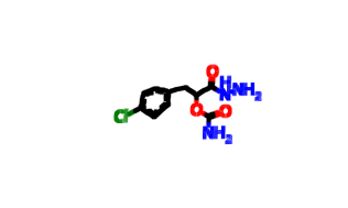 NNC(=O)C(Cc1ccc(Cl)cc1)OC(N)=O